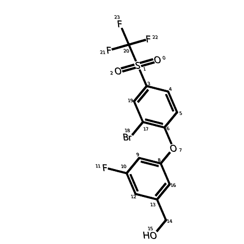 O=S(=O)(c1ccc(Oc2cc(F)cc(CO)c2)c(Br)c1)C(F)(F)F